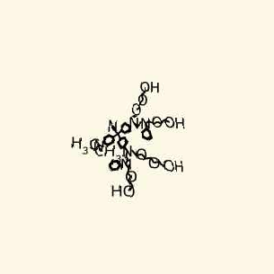 CN(C)c1ccc(C(C#N)(c2ccc(N(CCOCCOCCO)CCN(CCOCCO)c3ccccc3)cc2)c2ccc(N(CCOCCOCCO)CCN(CCOCCO)c3ccccc3)cc2)cc1